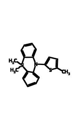 Cc1ccc(N2c3ccccc3[Si](C)(C)c3ccccc32)s1